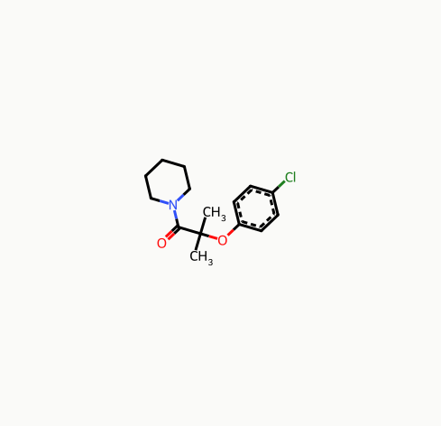 CC(C)(Oc1ccc(Cl)cc1)C(=O)N1CCCCC1